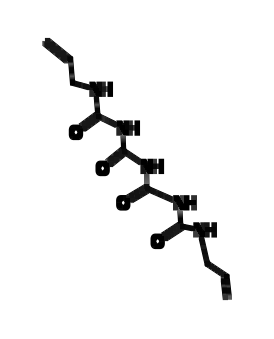 C=CCNC(=O)NC(=O)NC(=O)NC(=O)NCC=C